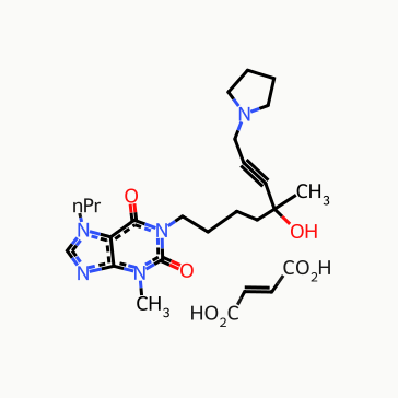 CCCn1cnc2c1c(=O)n(CCCCC(C)(O)C#CCN1CCCC1)c(=O)n2C.O=C(O)/C=C/C(=O)O